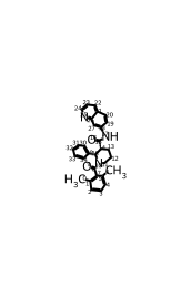 Cc1cccc(C)c1C(=O)N1CCC[C@H](C(=O)Nc2ccc3cccnc3c2)[C@@H]1c1ccccc1